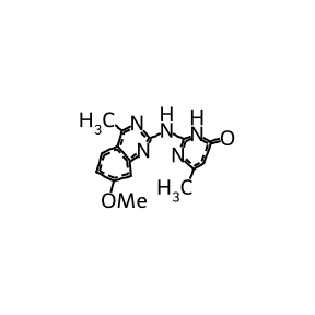 COc1ccc2c(C)nc(Nc3nc(C)cc(=O)[nH]3)nc2c1